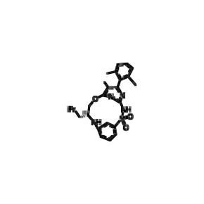 Cc1cccc(C)c1-c1nc2nc(c1C)OC[C@@H](CC(C)C)Nc1cccc(c1)S(=O)(=O)N2